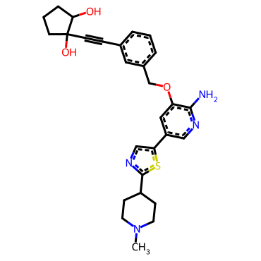 CN1CCC(c2ncc(-c3cnc(N)c(OCc4cccc(C#CC5(O)CCCC5O)c4)c3)s2)CC1